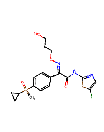 C=S(=O)(c1ccc(/C(=N\OCCCO)C(=O)Nc2ncc(F)s2)cc1)C1CC1